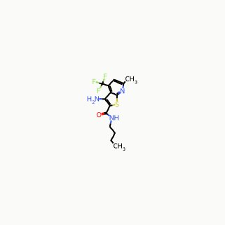 CCCCNC(=O)c1sc2nc(C)cc(C(F)(F)F)c2c1N